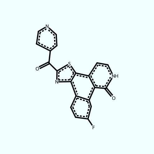 O=C(c1ccncc1)c1nc2c3ccc(F)cc3c3c(=O)[nH]ccc3c2s1